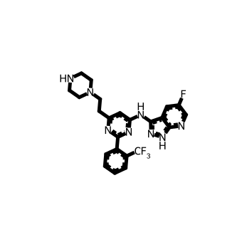 Fc1cnc2[nH]nc(Nc3cc(CCN4CCNCC4)nc(-c4ccccc4C(F)(F)F)n3)c2c1